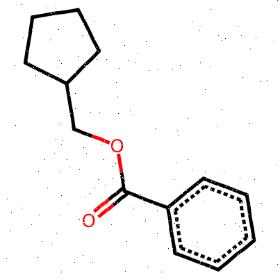 O=C(OCC1CCCC1)c1ccccc1